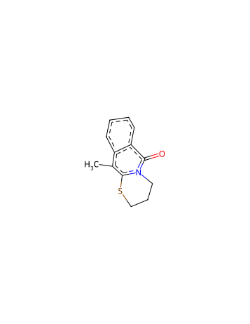 Cc1c2n(c(=O)c3ccccc13)CCCS2